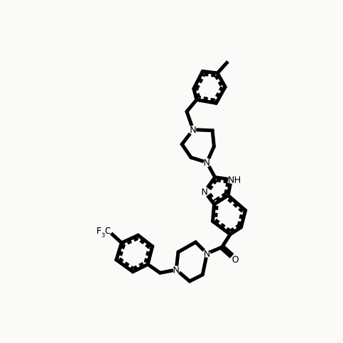 Cc1ccc(CN2CCN(c3nc4cc(C(=O)N5CCN(Cc6ccc(C(F)(F)F)cc6)CC5)ccc4[nH]3)CC2)cc1